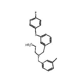 Cc1cccc(CN(CCC(=O)O)Cc2cccc(Sc3ccc(F)cc3)c2)c1